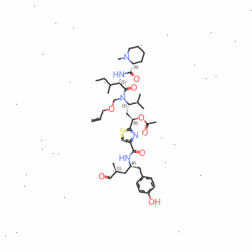 C=CCOCN(C(=O)[C@@H](NC(=O)[C@H]1CCCCN1C)C(C)CC)[C@@H](C[C@@H](OC(C)=O)c1nc(C(=O)N[C@@H](Cc2ccc(O)cc2)C[C@H](C)C=O)cs1)C(C)C